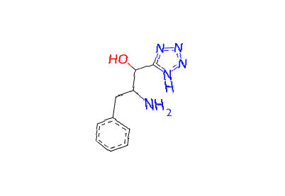 NC(Cc1ccccc1)C(O)c1nnn[nH]1